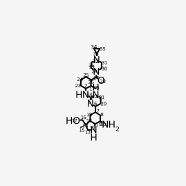 CC1C(NC2=NC(C3CC(N)C4NC[C@](C)(CO)C4C3)CCN2)CCCC1C(=O)N1CCN(C2CC2)CC1